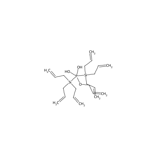 C=CCOP(O)(O)([Si](CC=C)(CC=C)CC=C)[Si](CC=C)(CC=C)CC=C